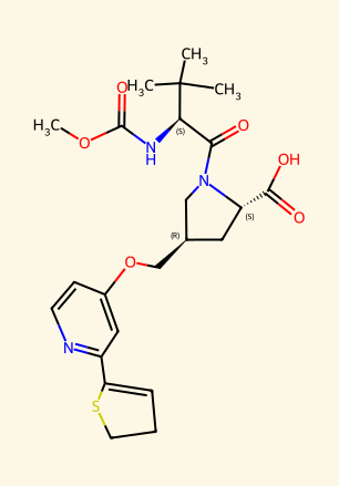 COC(=O)N[C@H](C(=O)N1C[C@H](COc2ccnc(C3=CCCS3)c2)C[C@H]1C(=O)O)C(C)(C)C